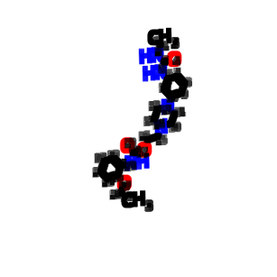 CCNC(=O)Nc1cccc(N2CCN(CCOC(=O)Nc3ccccc3OCC)CC2)c1